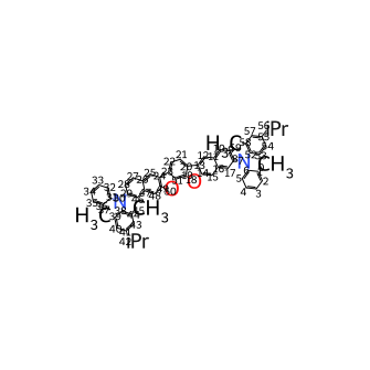 Cc1ccccc1N(c1ccc2cc3c(cc2c1)oc1c3ccc2c3cc4ccc(N(c5ccccc5C)c5ccc(C(C)C)cc5C)cc4cc3oc21)c1ccc(C(C)C)cc1C